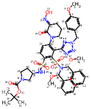 COc1ccc(Cn2nnc(-c3c(N4CCCC(=NO)C4=O)ccc(S(=O)(=O)N[C@@H]4CCN(C(=O)OC(C)(C)C)C4)c3S(=O)(=O)N([C@H](OC)c3ccccc3)[C@H](OC)c3ccccc3)n2)cc1